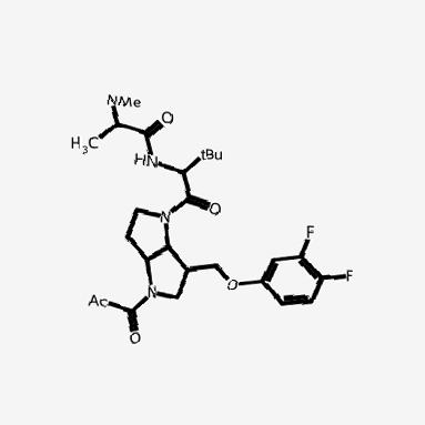 CNC(C)C(=O)NC(C(=O)N1CCC2C1C(COc1ccc(F)c(F)c1)CN2C(=O)C(C)=O)C(C)(C)C